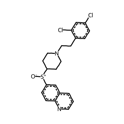 [O-][S+](c1ccc2ncccc2c1)C1CCN(CCc2ccc(Cl)cc2Cl)CC1